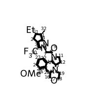 CC[C@@H]1Cc2c(nn(CC(=O)N3CC[C@@H](N4CCOCC4)[C@H]3c3cccc(OC)c3C)c2C(F)(F)F)[C@@H]1C